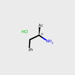 CC(=O)[C@@H](N)CC(C)C.Cl